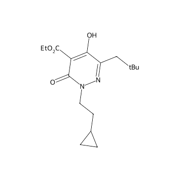 CCOC(=O)c1c(O)c(CC(C)(C)C)nn(CCC2CC2)c1=O